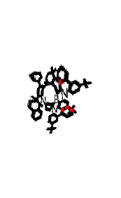 CC(C)(C)c1ccc(N2c3ccc4cc3B3c5cc6c(cc5N(c5ccc(C(C)(C)C)cc5-c5ccccc5)c5cc(C(C)(C)C)cc2c53)C(C)(C)CCC6(C)c2cc3c(cc2-c2ccccc2)C2(C)CCc5ccccc5C2(C)N43)c(-c2ccccc2)c1